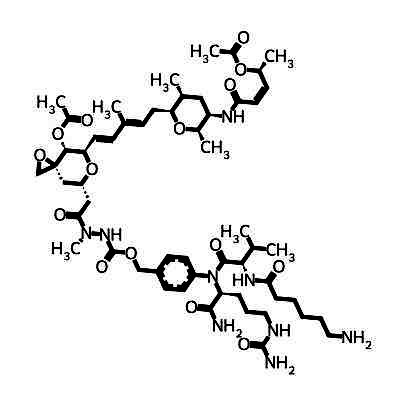 CC(=O)O[C@@H]1[C@@H](/C=C/C(C)=C/C[C@@H]2O[C@H](C)[C@H](NC(=O)/C=C\[C@H](C)OC(C)=O)C[C@@H]2C)O[C@H](CC(=O)N(C)NC(=O)OCc2ccc(N(C(=O)[C@@H](NC(=O)CCCCCN)C(C)C)[C@@H](CCCNC(N)=O)C(N)=O)cc2)C[C@@]12CO2